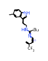 C=C(/C=C\N=C(\NCCc1c[nH]c2ccc(C)cc12)C(C)CC)C(F)(F)F